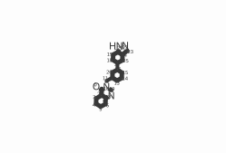 O=c1c2ccccc2ncn1Cc1cccc(-c2ccc3[nH]ncc3c2)c1